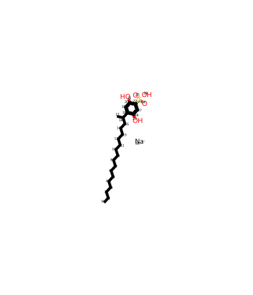 CCCCCCCCCCCCCCCCC(C)c1cc(O)c(S(=O)(=O)O)cc1O.[Na]